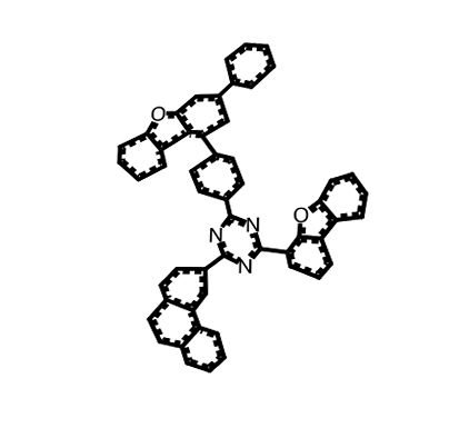 c1ccc(-c2cc(-c3ccc(-c4nc(-c5ccc6ccc7ccccc7c6c5)nc(-c5cccc6c5oc5ccccc56)n4)cc3)c3c(c2)oc2ccccc23)cc1